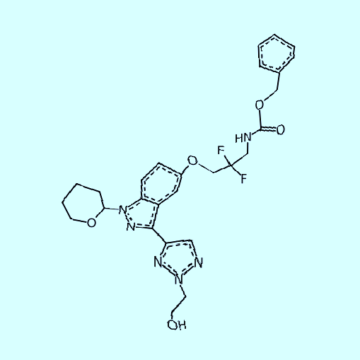 O=C(NCC(F)(F)COc1ccc2c(c1)c(-c1cnn(CCO)n1)nn2C1CCCCO1)OCc1ccccc1